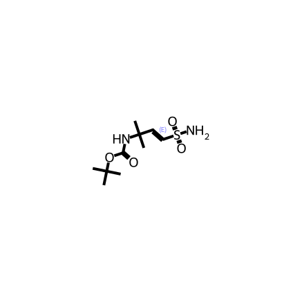 CC(C)(/C=C/S(N)(=O)=O)NC(=O)OC(C)(C)C